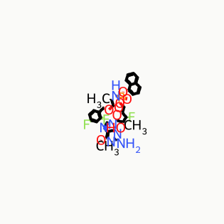 COc1nc(N)nc2c1ncn2C1OC(COP(=O)(N[C@@H](C)C(=O)OCc2ccc(F)cc2F)Oc2cccc3ccccc23)[C@@H](F)[C@@]1(C)O